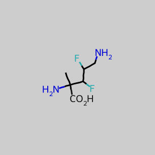 CC(N)(C(=O)O)C(F)C(F)CN